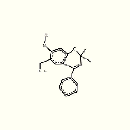 CCOc1cc2c(cc1CC=O)C(c1ccccc1)=CC(C)(C)O2